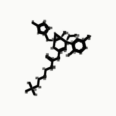 Cc1cn(C[C@]23C[C@H]2[C@@](CF)(c2cc(Br)ccc2F)N=C(OC(=O)NCOCC[Si](C)(C)C)S3)nn1